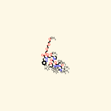 CC[C@H](C)[C@@H]([C@@H](CC(=O)N1CCC[C@H]1[C@@H](CC(=O)N[C@@H](Cc1ccccc1)C(=O)OCCOCCOCCOC)OC)OC)N(C)C(=O)[C@@H](NC(=O)[C@H](C(C)C)N(C)C(C)C)C(C)C